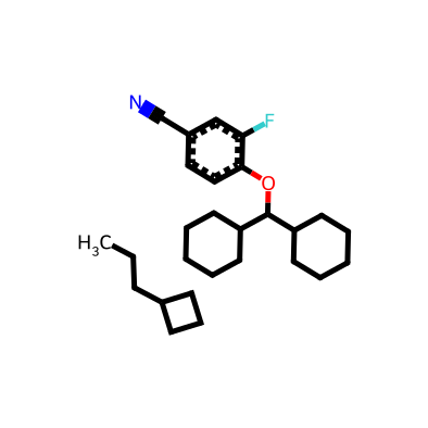 CCCC1CCC1.N#Cc1ccc(OC(C2CCCCC2)C2CCCCC2)c(F)c1